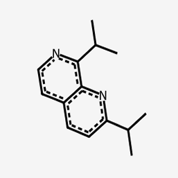 CC(C)c1ccc2ccnc(C(C)C)c2n1